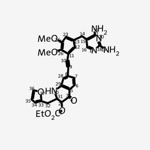 CCOC(=O)OC1C(=O)c2ccc(C#Cc3cc(Cc4cnc(N)nc4N)cc(OC)c3OC)cc2NC1Cc1ccco1